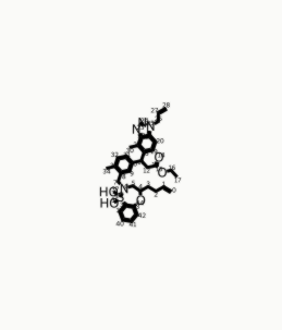 C=CCCC1CN(Cc2cc(C(CC(=O)OCC)c3ccc4c(nnn4CC=C)c3C)ccc2C)S(O)(O)c2ccccc2O1